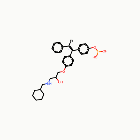 CC/C(=C(/c1ccc(OCC(O)CNCC2CCCCC2)cc1)c1ccc(OP(O)O)cc1)c1ccccc1